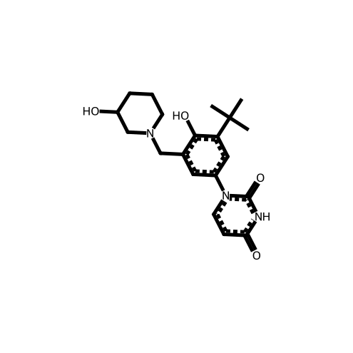 CC(C)(C)c1cc(-n2ccc(=O)[nH]c2=O)cc(CN2CCCC(O)C2)c1O